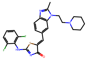 Cc1nc2ccc(/C=C3\SC(Nc4c(F)cccc4F)=NC3=O)cc2n1CCN1CCCCC1